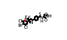 O=C1NOCC1NC(=S)c1ccc(C2=NCC(c3cc(Cl)c(Br)c(Cl)c3)(C(F)(F)F)C2)cc1